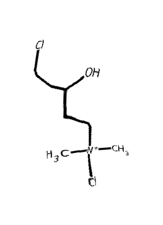 C[N+](C)(Cl)CCC(O)CCl